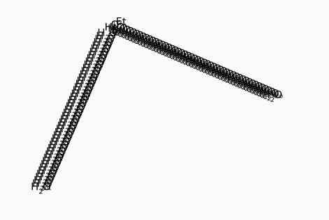 CCOCC.O.O.O.O.O.O.O.O.O.O.O.O.O.O.O.O.O.O.O.O.O.O.O.O.O.O.O.O.O.O.O.O.O.O.O.O.O.O.O.O.O.O.O.O.O.O.O.O.O.O.O.O.O.O.O.O.O.O.O.O.O.O.O.O.O.O.O.O.O.O.O.O.O.O.O.O.O.O.O.O.O.O.O.O.O.O.O.O.O.O.O.O.O.O.O.O.O.O.O